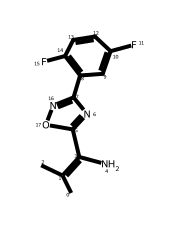 CC(C)=C(N)c1nc(-c2cc(F)ccc2F)no1